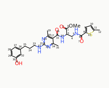 COC(=O)C(CNC(=O)c1ccc(C)s1)NC(=O)c1c(C)nc(NCCCc2cccc(O)c2)nc1C